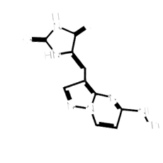 CC(C)Nc1ccn2ncc(C=C3NC(=O)NC3=O)c2n1